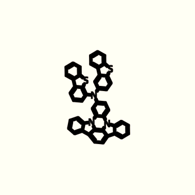 c1ccc2c(c1)sc1ccc(N(c3ccc4c(c3)n3c5ccccc5c5ccc6c7ccccc7n4c6c53)c3cccc4c3sc3ccccc34)cc12